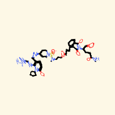 CNC(=O)CCC(C=O)N1C(=O)c2cccc(CCCOCCCN(C)[S+]([O-])N3CCC(/N=C\c4ccc(=O)n(C5CCCC5)c4/N=C/N)CC3)c2C1=O